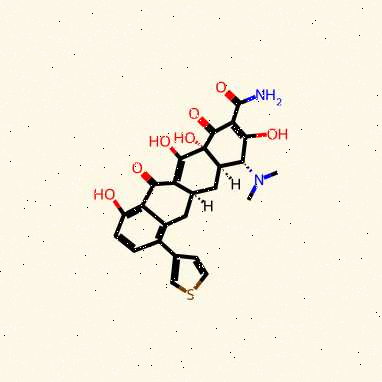 CN(C)[C@H]1C(O)=C(C(N)=O)C(=O)[C@]2(O)C(O)=C3C(=O)c4c(O)ccc(-c5ccsc5)c4C[C@@H]3C[C@H]12